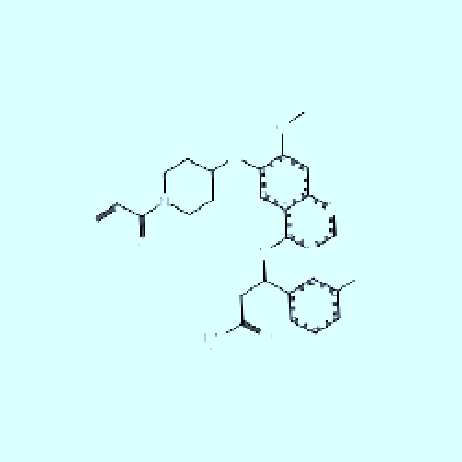 C=CC(=O)N1CCC(Oc2cc3c(NC(CC(N)=O)c4cccc(Cl)c4)ncnc3cc2OC)CC1